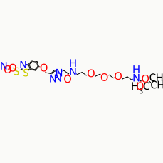 CC(C)(C)OC(=O)NCCCOCCOCCOCCCNC(=O)Cn1cc(COc2ccc3nc(SOON)sc3c2)nn1